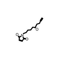 C#CCCC(=O)CCCCCN1C(=O)C=CC1=O